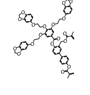 C=C(C)C(=O)OCc1cc(-c2ccc(OC(=O)C(=C)C)cc2)ccc1OC(=O)c1cc(OCCOc2ccc3c(c2)OCO3)c(OCCOc2ccc3c(c2)OCO3)c(OCCOc2ccc3c(c2)OCO3)c1